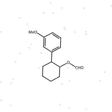 COc1cccc(C2CCCCC2OC=O)c1